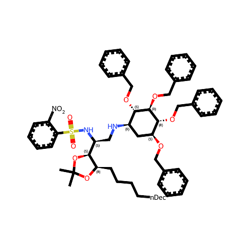 CCCCCCCCCCCCCC[C@H]1OC(C)(C)O[C@H]1[C@H](CN[C@@H]1C[C@H](OCc2ccccc2)[C@@H](OCc2ccccc2)[C@H](OCc2ccccc2)[C@H]1OCc1ccccc1)NS(=O)(=O)c1ccccc1[N+](=O)[O-]